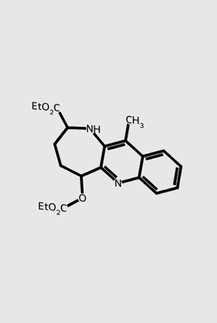 CCOC(=O)OC1CCC(C(=O)OCC)Nc2c1nc1ccccc1c2C